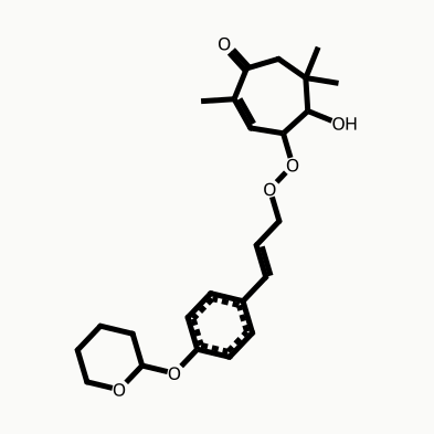 CC1=CC(OOCC=Cc2ccc(OC3CCCCO3)cc2)C(O)C(C)(C)CC1=O